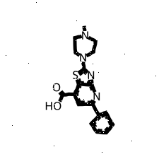 CN1CCN(c2nc3nc(-c4ccccc4)cc(C(=O)O)c3s2)CC1